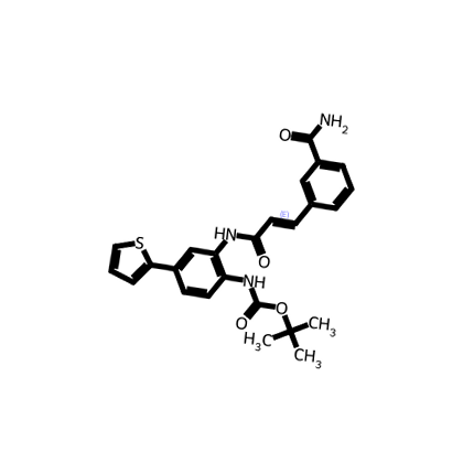 CC(C)(C)OC(=O)Nc1ccc(-c2cccs2)cc1NC(=O)/C=C/c1cccc(C(N)=O)c1